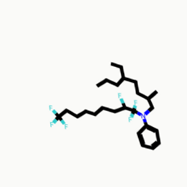 CCCC(CC)CCC(C)CN(c1ccccc1)C(F)(F)C(F)CCCCCCC(F)(F)F